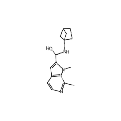 Cc1nccc2cc(C(O)NC34CCC(C3)C4)n(C)c12